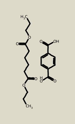 CCCOC(=O)CCCCC(=O)OCCC.O=C(O)c1ccc(C(=O)O)cc1